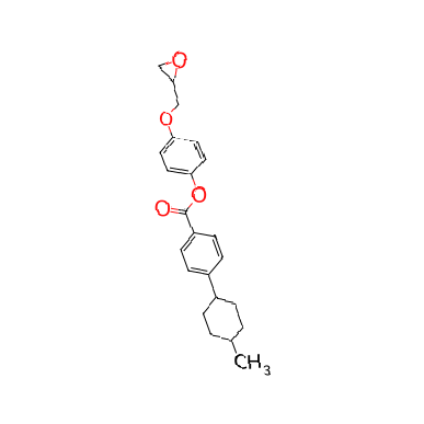 CC1CCC(c2ccc(C(=O)Oc3ccc(OCC4CO4)cc3)cc2)CC1